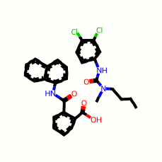 CCCCN(C)C(=O)Nc1ccc(Cl)c(Cl)c1.O=C(O)c1ccccc1C(=O)Nc1cccc2ccccc12